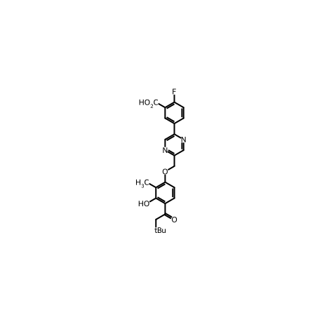 Cc1c(OCc2cnc(-c3ccc(F)c(C(=O)O)c3)cn2)ccc(C(=O)CC(C)(C)C)c1O